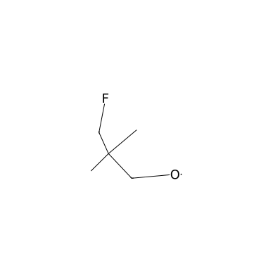 CC(C)(C[O])CF